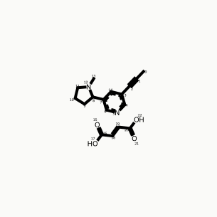 CC#Cc1cncc(C2CCCN2C)c1.O=C(O)C=CC(=O)O